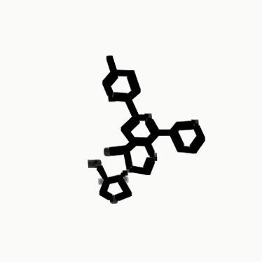 Cc1ccc(-c2cc3c(=O)n([C@@H]4COC[C@H]4O)cnc3c(-c3cccnc3)n2)nc1